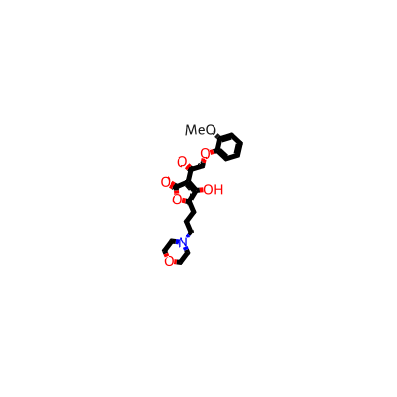 COc1ccccc1OCC(=O)C1=C(O)C(CCCN2CCOCC2)OC1=O